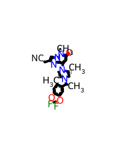 CC(c1ccc2c(c1)OC(F)(F)O2)N1C[C@H](C)N(c2cc(=O)n(C)n3cc(CC#N)nc23)C[C@H]1C